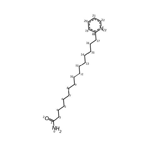 NC(=O)CCCCCCCCCCCCCCCc1ccccn1